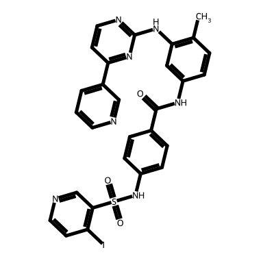 Cc1ccc(NC(=O)c2ccc(NS(=O)(=O)c3cnccc3I)cc2)cc1Nc1nccc(-c2cccnc2)n1